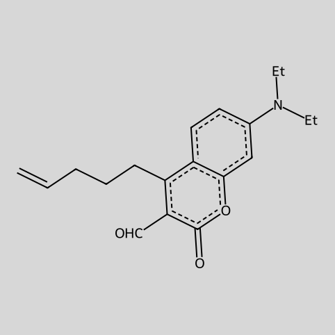 C=CCCCc1c(C=O)c(=O)oc2cc(N(CC)CC)ccc12